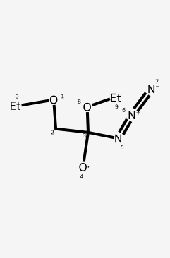 CCOCC([O])(N=[N+]=[N-])OCC